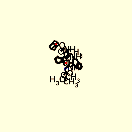 C/C(=C/C(=O)OC(C)(C)C)NCc1ccccc1CCNC(=O)C(C)(Cc1c[nH]c2ccccc12)NC(=O)OC1C2CC3CC(C2)CC1C3